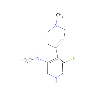 CN1CC=C(C2=C(NC(=O)O)CNC=C2F)CC1